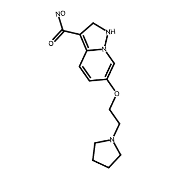 O=NC(=O)C1=C2C=CC(OCCN3CCCC3)=CN2NC1